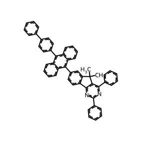 CC1(C)c2cc(-c3c4ccccc4c(-c4ccc(-c5ccccc5)cc4)c4ccccc34)ccc2-c2nc(-c3ccccc3)nc(-c3ccccc3)c21